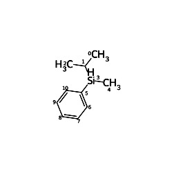 CC(C)[SiH](C)c1ccccc1